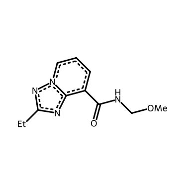 CCc1nc2c(C(=O)NCOC)cccn2n1